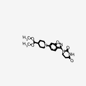 COC(OC)C1CCN(c2ccc3c(N4CCC(=O)NC4=O)noc3c2)CC1